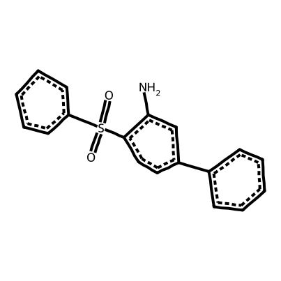 Nc1cc(-c2ccccc2)ccc1S(=O)(=O)c1ccccc1